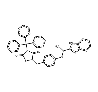 CC(Oc1ccc(CC2SC(=O)N(C(c3ccccc3)(c3ccccc3)c3ccccc3)C2=O)cc1)c1nc2ncccc2[nH]1